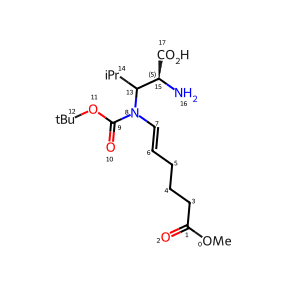 COC(=O)CCCC=CN(C(=O)OC(C)(C)C)C(C(C)C)[C@H](N)C(=O)O